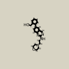 OCc1ccccc1-c1ccc2nc(NCCN3CCOCC3)ncc2c1